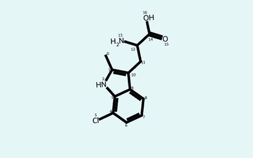 Cc1[nH]c2c(Cl)cccc2c1CC(N)C(=O)O